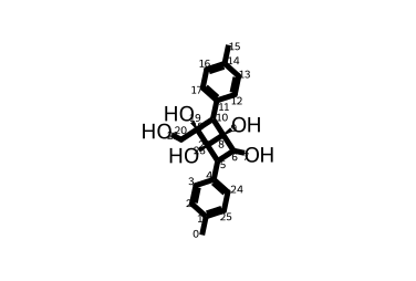 Cc1ccc(C2C(O)[C@@]3(O)C(c4ccc(C)cc4)[C@@](O)(CO)[C@@]23O)cc1